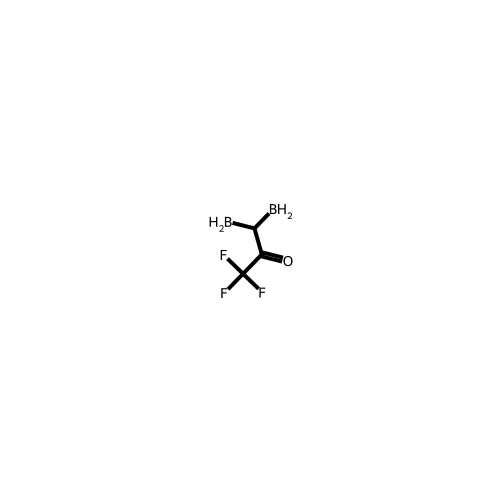 BC(B)C(=O)C(F)(F)F